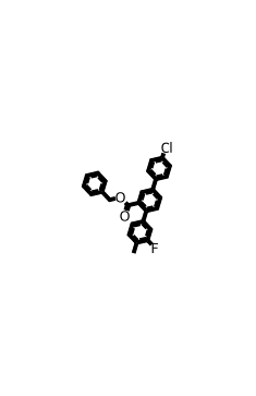 Cc1ccc(-c2ccc(-c3ccc(Cl)cc3)cc2C(=O)OCc2ccccc2)cc1F